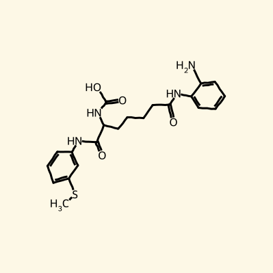 CSc1cccc(NC(=O)C(CCCCC(=O)Nc2ccccc2N)NC(=O)O)c1